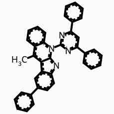 Cc1c2c3cc(-c4ccccc4)ccc3nc-2n(-c2nc(-c3ccccc3)cc(-c3ccccc3)n2)c2ccccc12